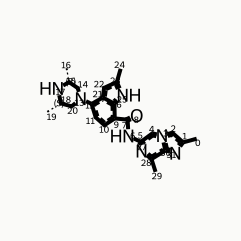 Cc1cn2cc(NC(=O)c3ccc(N4C[C@@H](C)N[C@@H](C)C4)c4cc(C)[nH]c34)nc(C)c2n1